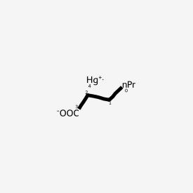 CCCCCC(=O)[O-].[Hg+]